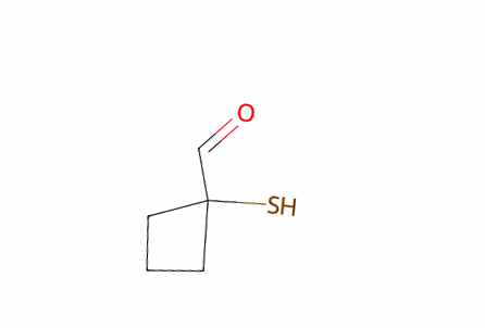 O=CC1(S)CCC1